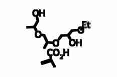 C=C(C)C(=O)O.CCOCC(O)COC(C)COC(C)CO